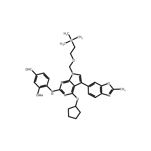 COc1cc(C=O)ccc1Nc1nc(OC2CCCC2)c2c(-c3ccc4nc(C)oc4c3)cn(COCC[Si](C)(C)C)c2n1